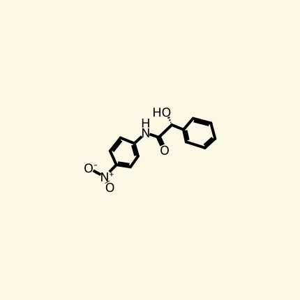 O=C(Nc1ccc([N+](=O)[O-])cc1)[C@H](O)c1ccccc1